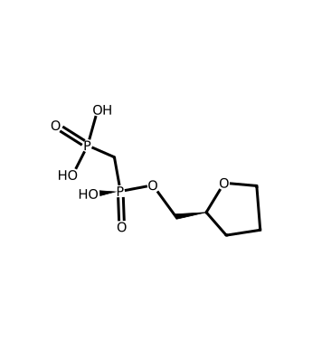 O=P(O)(O)C[P@](=O)(O)OC[C@@H]1CCCO1